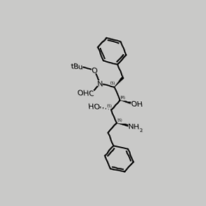 CC(C)(C)ON(C=O)[C@@H](Cc1ccccc1)[C@@H](O)[C@@H](O)[C@@H](N)Cc1ccccc1